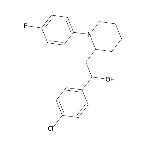 OC(CC1CCCCN1c1ccc(F)cc1)c1ccc(Cl)cc1